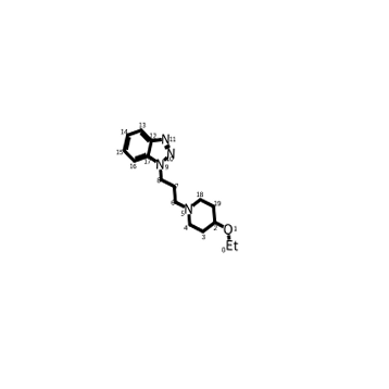 CCOC1CCN(CCCn2nnc3ccccc32)CC1